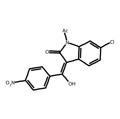 CC(=O)N1C(=O)C(=C(O)c2ccc([N+](=O)[O-])cc2)c2ccc(Cl)cc21